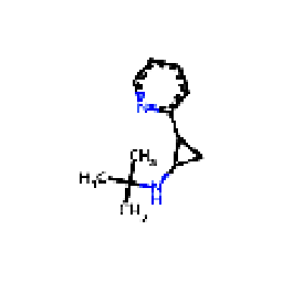 CC(C)(C)NC1CC1c1ccccn1